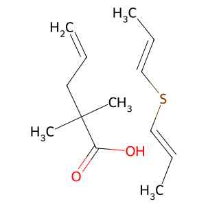 C=CCC(C)(C)C(=O)O.CC=CSC=CC